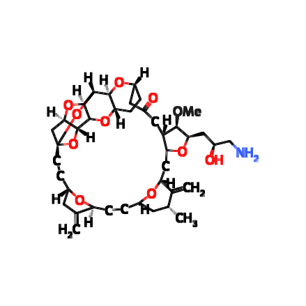 C=C1C[C@@H]2CC[C@@]34C[C@H]5O[C@@H]6C(O[C@H]7CC[C@H](CC(=O)C[C@H]8C(C[C@H]9O[C@@H](CC[C@@H]1O2)C[C@@H](C)C9=C)O[C@H](C[C@H](O)CN)[C@@H]8OC)O[C@@H]7[C@@H]6O3)[C@@H]5O4